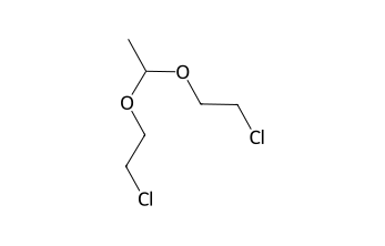 CC(OCCCl)OCCCl